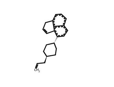 C=CC[C@H]1CC[C@H](c2ccc3cccc4c3c2C=CC4)CC1